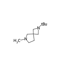 CN1CCC2(C1)CN(C(C)(C)C)C2